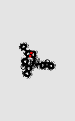 c1ccc(-c2cccc(-c3ccc4oc5c6ccccc6cc(-c6nc(-c7ccccc7)nc(-c7ccc8c(c7)oc7ccccc78)n6)c5c4c3)c2)cc1